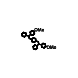 COc1ccc(C(=Cc2ccc(C=C(c3ccccc3)c3ccc(OC)cc3)cc2)c2ccccc2)cc1